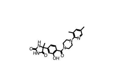 Cc1cnc(N2CCN(C(=O)c3ccc(C4(C)NC(=O)NC4=O)cc3O)CC2)c(C)c1